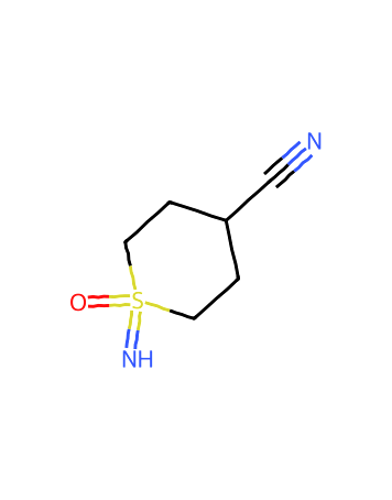 N#CC1CCS(=N)(=O)CC1